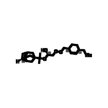 CC(C)(C)C[C@H]1C=C[C@@H](COOC[C@@H](O)OC(C)(C)C23CC4CC(C2)[C@@H](C4)C3)CC1